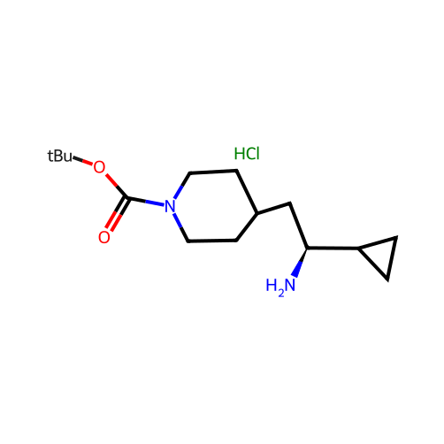 CC(C)(C)OC(=O)N1CCC(C[C@H](N)C2CC2)CC1.Cl